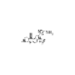 CN1CC[C@@H](Nc2cccc3c2cc(-c2ncc(CN)s2)n3CC(F)(F)F)[C@@H](F)C1